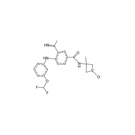 CC(=N)c1cc(C(=O)NC2(C)C[S+]([O-])C2)ccc1Nc1cccc(OC(F)F)c1